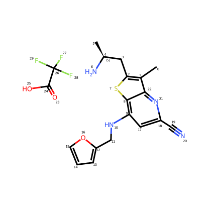 Cc1c(C[C@H](C)N)sc2c(NCc3ccco3)cc(C#N)nc12.O=C(O)C(F)(F)F